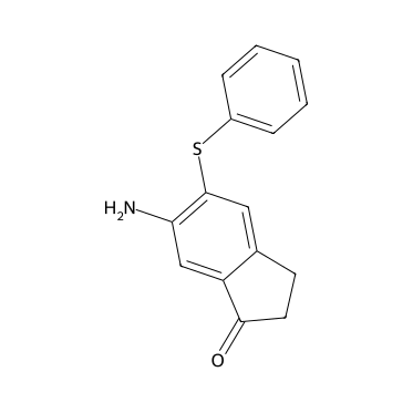 Nc1cc2c(cc1Sc1ccccc1)CCC2=O